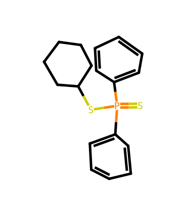 S=P(SC1CCCCC1)(c1ccccc1)c1ccccc1